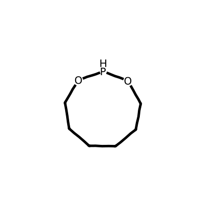 C1CCCOPOCC1